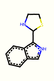 [c]1[nH]c(C2NCCS2)c2ccccc12